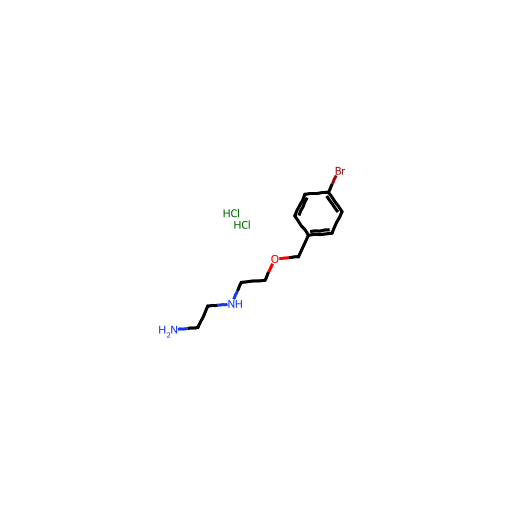 Cl.Cl.NCCNCCOCc1ccc(Br)cc1